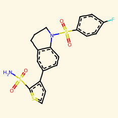 NS(=O)(=O)c1sccc1-c1ccc2c(c1)CCCN2S(=O)(=O)c1ccc(F)cc1